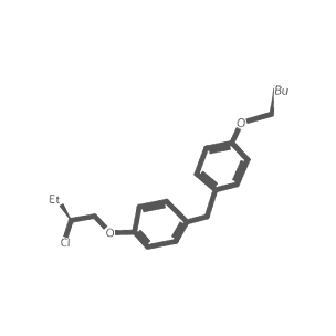 CC[C@H](C)COc1ccc(Cc2ccc(OC[C@@H](Cl)CC)cc2)cc1